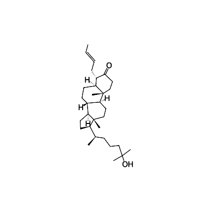 CC=CC[C@@H]1C(=O)CC[C@]2(C)[C@H]3CC[C@]4(C)[C@@H]([C@H](C)CCCC(C)(C)O)CC[C@H]4[C@@H]3CC[C@@H]12